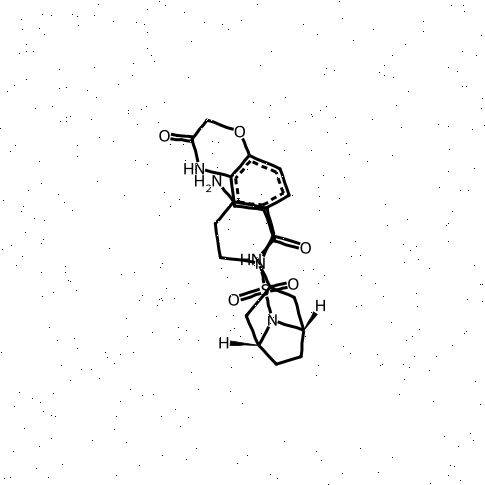 NC1CCN(S(=O)(=O)N2[C@@H]3CC[C@H]2CC(NC(=O)c2ccc4c(c2)NC(=O)CO4)C3)CC1